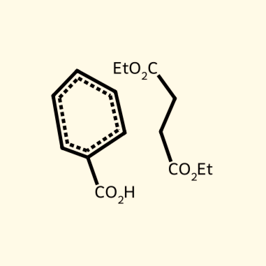 CCOC(=O)CCC(=O)OCC.O=C(O)c1ccccc1